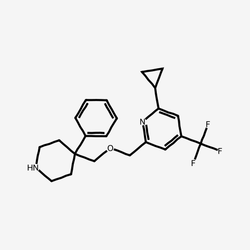 FC(F)(F)c1cc(COCC2(c3ccccc3)CCNCC2)nc(C2CC2)c1